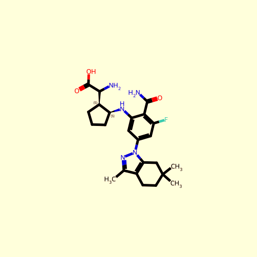 Cc1nn(-c2cc(F)c(C(N)=O)c(N[C@H]3CCC[C@H]3C(N)C(=O)O)c2)c2c1CCC(C)(C)C2